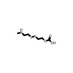 CNCCSSCCOC(=O)O